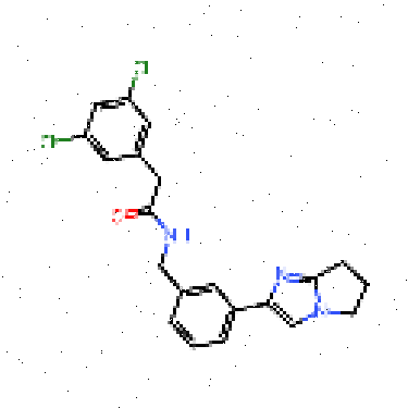 O=C(Cc1cc(Cl)cc(Cl)c1)NCc1cccc(-c2cn3c(n2)CCC3)c1